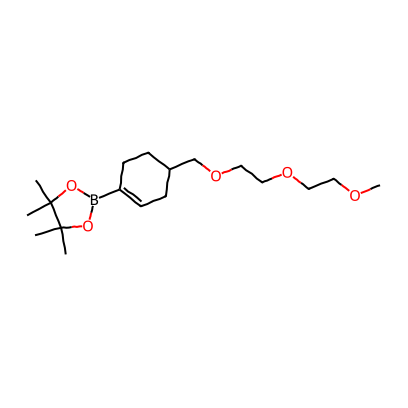 COCCOCCOCC1CC=C(B2OC(C)(C)C(C)(C)O2)CC1